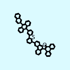 c1ccc2cc(-c3c4ccccc4c(-c4ccc5sc6c(-c7ccc8c(c7)c7ccccc7c7c8oc8c9ccccc9c9ccccc9c87)cccc6c5c4)c4ccccc34)ccc2c1